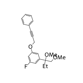 CCC(COC)(OC)c1cc(F)cc(OCC#Cc2ccccc2)c1